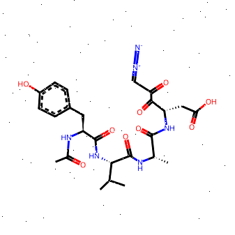 CC(=O)N[C@@H](Cc1ccc(O)cc1)C(=O)N[C@H](C(=O)N[C@@H](C)C(=O)N[C@@H](CC(=O)O)C(=O)C(=O)C=[N+]=[N-])C(C)C